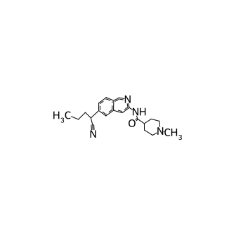 CCCC(C#N)c1ccc2cnc(NC(=O)C3CCN(C)CC3)cc2c1